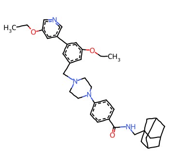 CCOc1cncc(-c2cc(CN3CCN(c4ccc(C(=O)NCC56CC7CC(CC(C7)C5)C6)cc4)CC3)cc(OCC)c2)c1